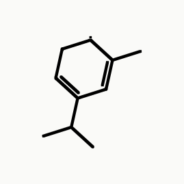 CC1=CC(C(C)C)=CC[CH]1